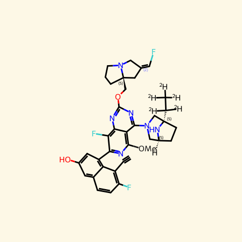 [2H]C([2H])([2H])C([2H])([2H])[C@@]12CC[C@@H](CN(c3nc(OC[C@@]45CCCN4C/C(=C\F)C5)nc4c(F)c(-c5cc(O)cc6ccc(F)c(C#C)c56)nc(OC)c34)C1)N2